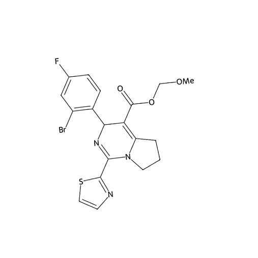 COCOC(=O)C1=C2CCCN2C(c2nccs2)=NC1c1ccc(F)cc1Br